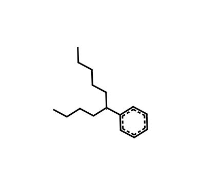 CCCCC[C](CCCC)c1ccccc1